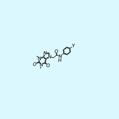 Cn1c(=O)c2c(ncn2CC(=O)Nc2cc[c]([Y])cc2)n(C)c1=O